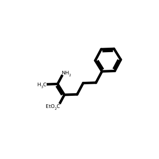 CCOC(=O)C(CCCc1ccccc1)=C(C)N